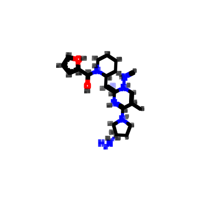 C=NN1C=C(C)C(N2CC[C@H](N)C2)=N/C1=C/C1CCCCN1C(=O)c1ccco1